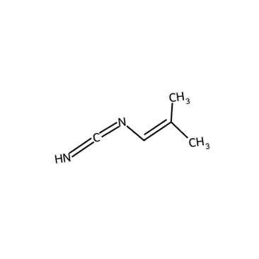 CC(C)=CN=C=N